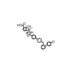 Cn1c(C(=O)O)ccc1S(=O)(=O)NC(=O)c1ccc(N2CCN(Cc3ccccc3-c3ccc(Cl)cc3)CC2)cc1